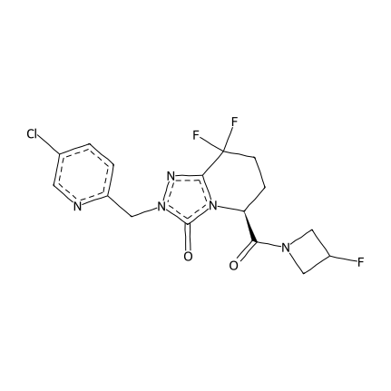 O=C([C@@H]1CCC(F)(F)c2nn(Cc3ccc(Cl)cn3)c(=O)n21)N1CC(F)C1